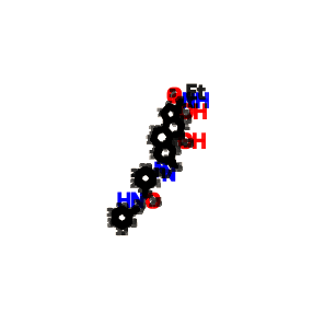 CCNC(=O)[C@@]1(O)CCC2C3CCC4=Cc5c(cnn5-c5cccc(C(=O)NCc6ccccc6)c5)C[C@]4(C)C3[C@@H](O)C[C@@]21C